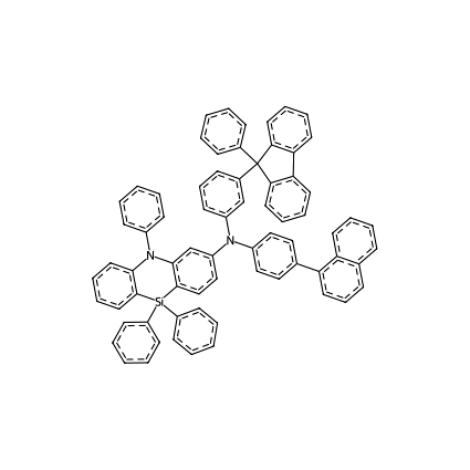 c1ccc(N2c3ccccc3[Si](c3ccccc3)(c3ccccc3)c3ccc(N(c4ccc(-c5cccc6ccccc56)cc4)c4cccc(C5(c6ccccc6)c6ccccc6-c6ccccc65)c4)cc32)cc1